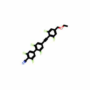 CCOCc1cc(F)c(C#Cc2cc(F)c(-c3cc(F)c(C#N)c(F)c3)c(F)c2)c(F)c1